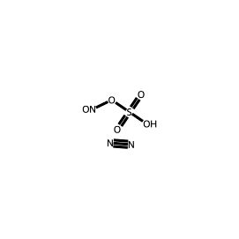 N#N.O=NOS(=O)(=O)O